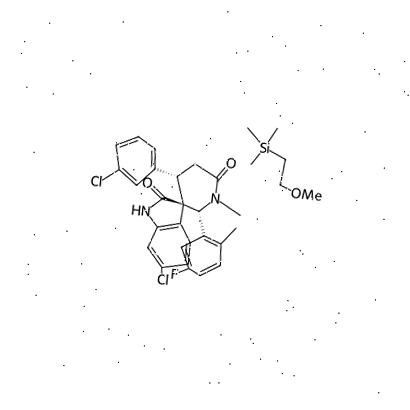 COCC[Si](C)(C)C.Cc1ccc(F)cc1[C@H]1N(C)C(=O)C[C@@H](c2cccc(Cl)c2)[C@]12C(=O)Nc1cc(Cl)ccc12